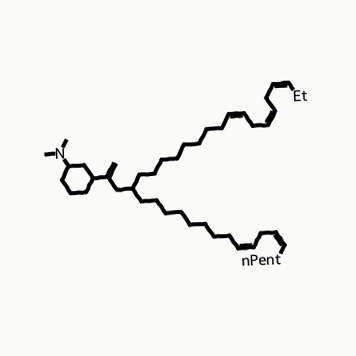 C=C(CC(CCCCCCCC/C=C\C/C=C\C/C=C\CC)CCCCCCCC/C=C\C/C=C\CCCCC)C1CCCC(N(C)C)C1